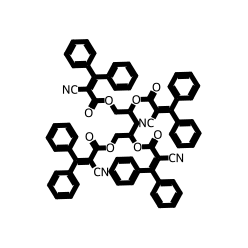 N#CC(C(=O)OCC(CC(COC(=O)C(C#N)=C(c1ccccc1)c1ccccc1)OC(=O)C(C#N)=C(c1ccccc1)c1ccccc1)OC(=O)C(C#N)=C(c1ccccc1)c1ccccc1)=C(c1ccccc1)c1ccccc1